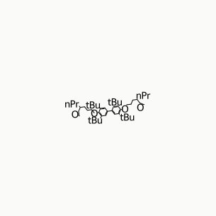 CCCC(CCCOc1c(C(C)(C)C)cc(-c2cc(C(C)(C)C)c(OCCCC(CCC)C3CO3)c(C(C)(C)C)c2)cc1C(C)(C)C)C1CO1